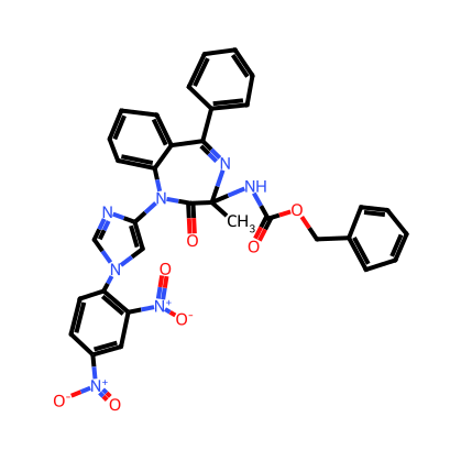 CC1(NC(=O)OCc2ccccc2)N=C(c2ccccc2)c2ccccc2N(c2cn(-c3ccc([N+](=O)[O-])cc3[N+](=O)[O-])cn2)C1=O